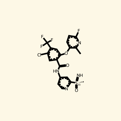 Cc1nc(F)ccc1Oc1cc(C(F)(F)F)c(Cl)cc1C(=O)Nc1ccnc([S@@](C)(=N)=O)c1